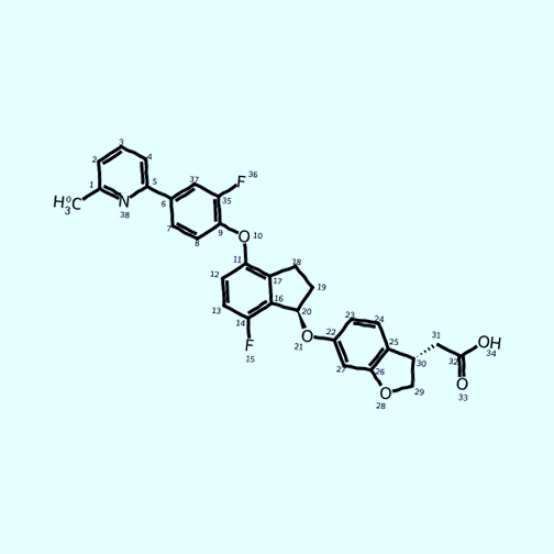 Cc1cccc(-c2ccc(Oc3ccc(F)c4c3CC[C@H]4Oc3ccc4c(c3)OC[C@H]4CC(=O)O)c(F)c2)n1